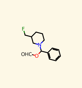 O=COC(c1ccccc1)N1CCCC(CF)C1